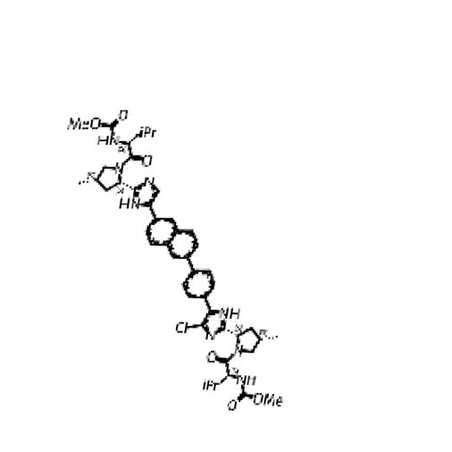 COC(=O)N[C@H](C(=O)N1C[C@@H](C)C[C@H]1c1ncc(-c2ccc3cc(-c4ccc(-c5[nH]c([C@@H]6C[C@H](C)CN6C(=O)[C@@H](NC(=O)OC)C(C)C)nc5Cl)cc4)ccc3c2)[nH]1)C(C)C